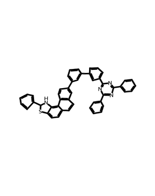 c1ccc(-c2nc(-c3ccccc3)nc(-c3cccc(-c4cccc(-c5ccc6c(ccc7ccc8c(c76)NC(c6ccccc6)S8)c5)c4)c3)n2)cc1